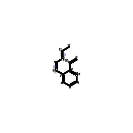 C=Cc1ncccc1/N=C\N=C\C